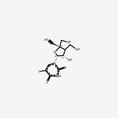 C#C[C@]1(CO)O[C@@H](n2cc(F)c(=S)[nH]c2=S)[C@@H](O)C1CO